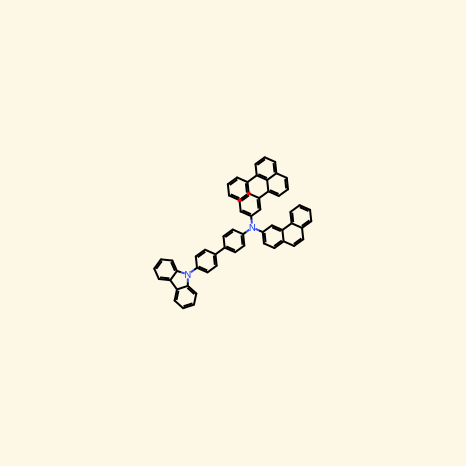 c1ccc(-c2cccc3cccc(-c4cccc(N(c5ccc(-c6ccc(-n7c8ccccc8c8ccccc87)cc6)cc5)c5ccc6ccc7ccccc7c6c5)c4)c23)cc1